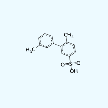 Cc1cccc(-c2cc(S(=O)(=O)O)ccc2C)c1